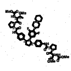 COC(=O)N[C@H](C(=O)N1CCC[C@H]1C(=O)Nc1ccc([C@@H]2CC[C@@H](c3ccc(NC(=O)[C@@H]4CCCN4C(=O)[C@@H](NC(=O)OC)[C@@H](C)OC)cc3)N2c2cc(F)c(N3CCS4(CCCCC4)CC3)c(F)c2)cc1)[C@@H](C)OC